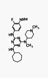 CNc1ccc(Nc2nc(NC3CCCCCC3)nc(N(C)C3CCN(C)CC3)n2)cc1F